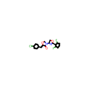 O=C1/C(=C/c2ccc(Cl)cc2)OCN1C1COC(c2c(F)cccc2F)=N1